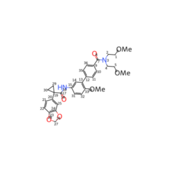 COCCN(CCOC)C(=O)c1ccc(-c2cc(NC(=O)C3(c4ccc5c(c4)OCO5)CC3)ccc2OC)cc1